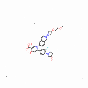 COCCOC1CN(N2C=Cc3cc(-n4cc(C(=O)O)c(=O)cc4-c4ccc(N5CC[C@@H](OC)C5)c(F)c4)ccc3C2)C1